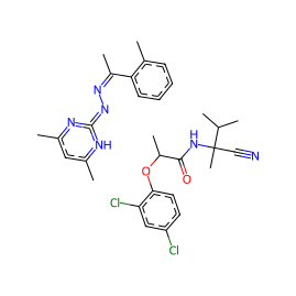 C/C(=N/N=c1\nc(C)cc(C)[nH]1)c1ccccc1C.CC(Oc1ccc(Cl)cc1Cl)C(=O)NC(C)(C#N)C(C)C